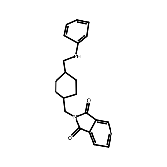 O=C1c2ccccc2C(=O)N1CC1CCC(CPc2ccccc2)CC1